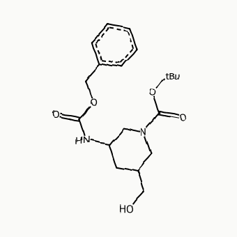 CC(C)(C)OC(=O)N1CC(CO)CC(NC(=O)OCc2ccccc2)C1